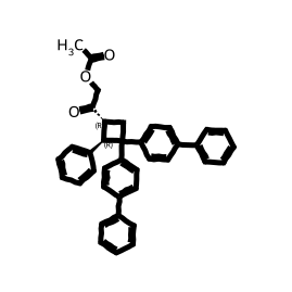 CC(=O)OCC(=O)[C@@H]1CC(c2ccc(-c3ccccc3)cc2)(c2ccc(-c3ccccc3)cc2)[C@H]1c1ccccc1